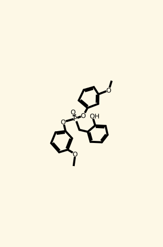 COc1cccc(OP(=O)(Cc2ccccc2O)Oc2cccc(OC)c2)c1